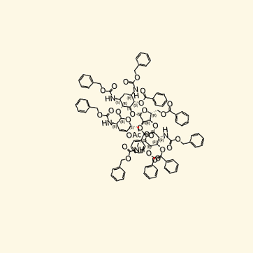 CC(=O)OC[C@@H]1C=C[C@@H](NC(=O)OCc2ccccc2)[C@@H](O[C@H]2[C@H](O[C@@H]3O[C@H](COC(=O)c4ccccc4)[C@@H](O[C@H]4O[C@@H](CNC(=O)OCc5ccccc5)[C@@H](OC(=O)c5ccccc5)[C@H](OC(=O)c5ccccc5)[C@H]4NC(=O)OCc4ccccc4)[C@H]3OC(=O)c3ccccc3)[C@@H](OC(=O)c3ccccc3)[C@H](NC(=O)OCc3ccccc3)C[C@@H]2NC(=O)OCc2ccccc2)O1